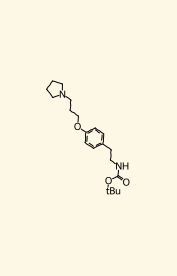 CC(C)(C)OC(=O)NCCc1ccc(OCCCN2CCCC2)cc1